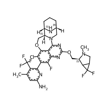 Cc1cc(N)nc(-c2c(Cl)c3c4c(nc(OC[C@@H]5C6C(CN5C)C6(F)F)nc4c2F)N2C[C@H]4CCC[C@H](N4)[C@H]2CO3)c1C(F)(F)F